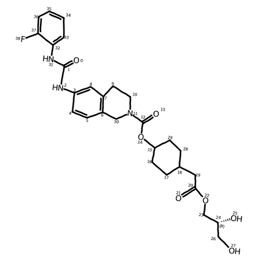 O=C(Nc1ccc2c(c1)CCN(C(=O)OC1CCC(CC(=O)OC[C@H](O)CO)CC1)C2)Nc1ccccc1F